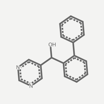 OC(c1cncnc1)c1ccccc1-c1ccccc1